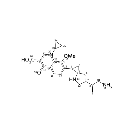 COc1c(C2CC23C[C@H]([C@H](C)CN)CN3)ccc2c(=O)c(C(=O)O)cn(C3CC3)c12